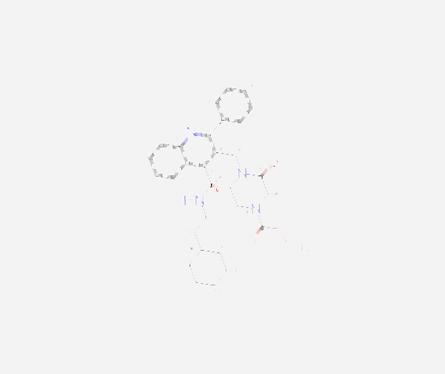 CC(C)(C)OC(=O)N1CCN(Cc2c(-c3ccccc3)nc3ccccc3c2C(=O)NCCC2CCCCC2)C(=O)C1